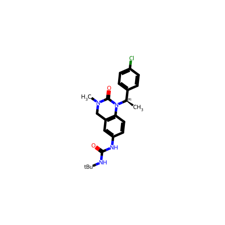 C[C@H](c1ccc(Cl)cc1)N1C(=O)N(C)Cc2cc(NC(=O)NC(C)(C)C)ccc21